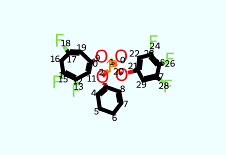 O=P(OC1=CCCC=C1)(OC1=CC(F)=C(F)CC(F)=C1)Oc1cc(F)c(F)c(F)c1